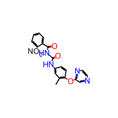 Cc1cc(NC(=O)NC(=O)c2ccccc2[N+](=O)[O-])ccc1Oc1cnccn1